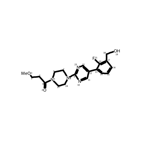 COCCC(=O)N1CCN(c2ncc(-c3cccc(CO)c3F)cn2)CC1